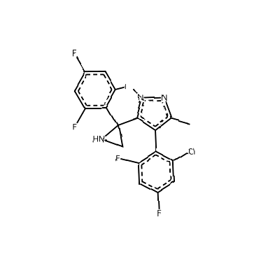 Cc1nn(C)c(C2(c3c(F)cc(F)cc3I)CN2)c1-c1c(F)cc(F)cc1Cl